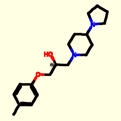 Cc1ccc(OC[C@@H](O)CN2CCC(N3CCCC3)CC2)cc1